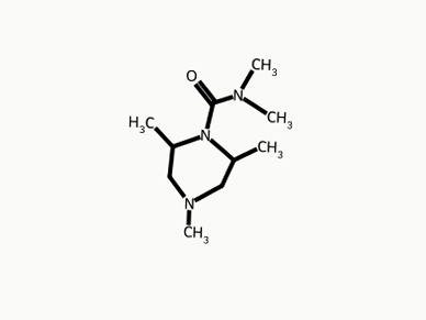 CC1CN(C)CC(C)N1C(=O)N(C)C